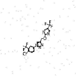 CC(F)(F)c1cc(-n2cc(COc3ncc(C(F)(F)F)cn3)nn2)ccc1Cl